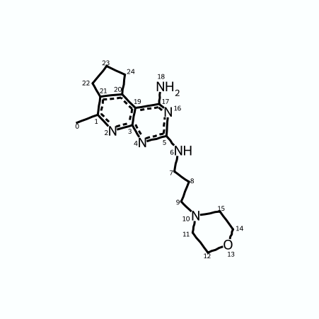 Cc1nc2nc(NCCCN3CCOCC3)nc(N)c2c2c1CCC2